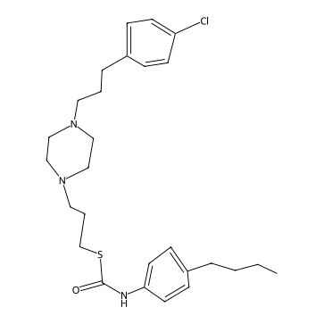 CCCCc1ccc(NC(=O)SCCCN2CCN(CCCc3ccc(Cl)cc3)CC2)cc1